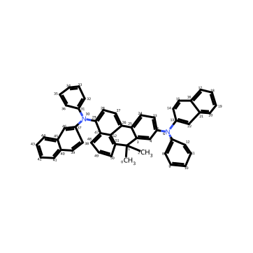 CC1(C)c2cc(N(c3ccccc3)c3ccc4ccccc4c3)ccc2-c2ccc(N(c3ccccc3)c3ccc4ccccc4c3)c3cccc1c23